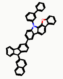 c1ccc(-c2cccc(-n3c4ccc(-c5ccc6c(c5)-c5ccccc5C6c5ccc6ccccc6c5)cc4c4ccc5c6ccccc6oc5c43)c2)cc1